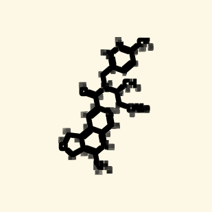 COC[C@H](C)N(Cc1ccc(C(F)(F)F)nn1)C(=O)c1cc2c3c(c(N)nc2cn1)COC3